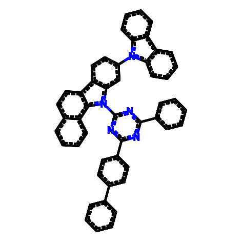 c1ccc(-c2ccc(-c3nc(-c4ccccc4)nc(-n4c5cc(-n6c7ccccc7c7ccccc76)ccc5c5ccc6ccccc6c54)n3)cc2)cc1